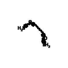 Bc1ccc(CCC(=O)c2ccc(CCCCCCCCCc3ccc(C(=O)Oc4ccc(B)cc4)cc3)cc2)cc1